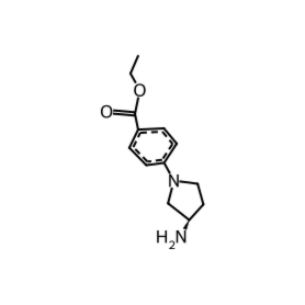 CCOC(=O)c1ccc(N2CC[C@@H](N)C2)cc1